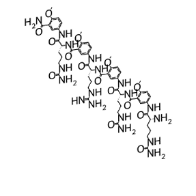 COc1ccc(NC(=O)[C@@H](CCCNC(N)=O)NC(=O)c2cc(NC(=O)[C@@H](CCCNC(=N)N)NC(=O)c3cc(NC(=O)[C@@H](CCCNC(N)=O)NC(=O)c4cc(NC(=O)[C@H](N)CCCNC(N)=O)ccc4OC)ccc3OC)ccc2OC)cc1C(N)=O